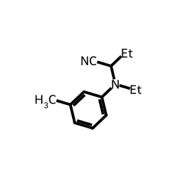 CCC(C#N)N(CC)c1cccc(C)c1